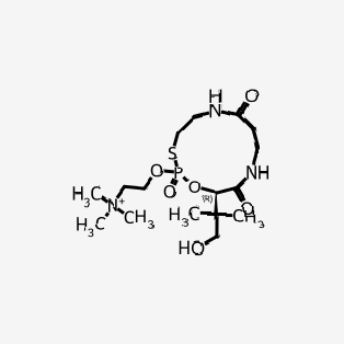 CC(C)(CO)[C@H]1OP(=O)(OCC[N+](C)(C)C)SCCNC(=O)CCNC1=O